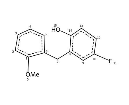 COc1ccccc1Cc1cc(F)ccc1O